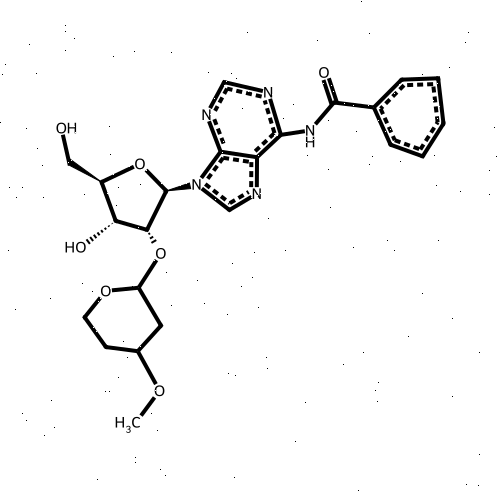 COC1CCOC(O[C@@H]2[C@H](O)[C@@H](CO)O[C@H]2n2cnc3c(NC(=O)c4ccccc4)ncnc32)C1